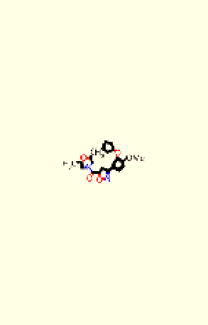 COc1ccc(C2=NOC(C(=O)N3CC(C)OC(C)C3)C2)cc1OC1CCCC1